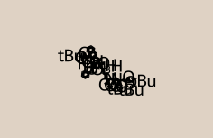 CN(C(=O)OC(C)(C)C)c1cc(C[C@@H](NC(=O)OCc2ccccc2)C(=O)NCCCC[C@H](NC(=O)N[C@@H](CCC(=O)OC(C)(C)C)C(=O)OC(C)(C)C)C(=O)OC(C)(C)C)cc2ccccc12